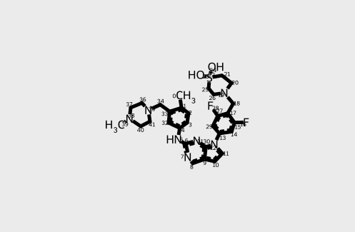 Cc1ccc(Nc2ncc3ccn(-c4cc(F)c(CN5CCS(O)(O)CC5)c(F)c4)c3n2)cc1CN1CCN(C)CC1